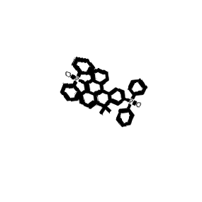 CC1(C)c2cc(P(=O)(c3ccccc3)c3ccccc3)ccc2-c2c3ccccc3c(P(=O)(c3ccccc3)c3ccccc3)c3cccc1c23